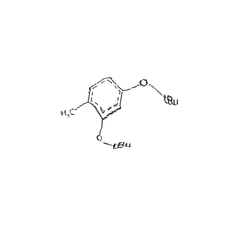 Cc1ccc(OC(C)(C)C)cc1OC(C)(C)C